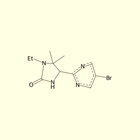 CCN1C(=O)NC(c2ncc(Br)cn2)C1(C)C